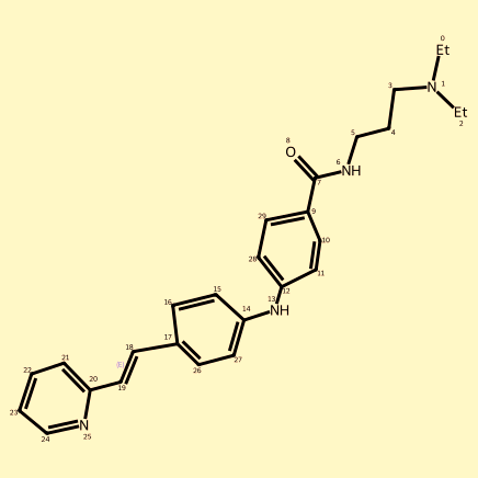 CCN(CC)CCCNC(=O)c1ccc(Nc2ccc(/C=C/c3ccccn3)cc2)cc1